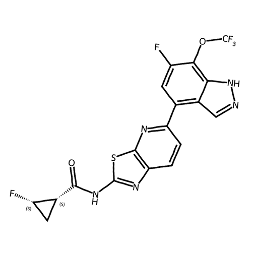 O=C(Nc1nc2ccc(-c3cc(F)c(OC(F)(F)F)c4[nH]ncc34)nc2s1)[C@@H]1C[C@@H]1F